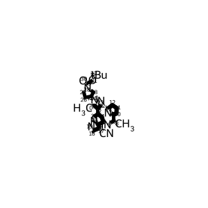 Cc1c(-c2cc(N[C@H](C)c3ccccn3)c3c(C#N)cnn3c2)cnn1[C@H]1CCN(C(=O)OC(C)(C)C)C1